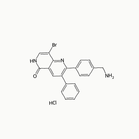 Cl.NCc1ccc(-c2nc3c(Br)c[nH]c(=O)c3cc2-c2ccccc2)cc1